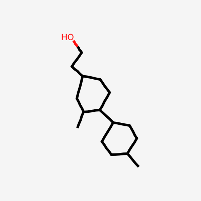 CC1CCC(C2CCC(CCO)CC2C)CC1